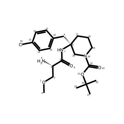 COC[C@H](N)C(=O)N[C@@]1(Cc2ccc(Cl)cc2)CCCN(C(=O)OC(C)(C)C)C1